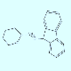 c1ccc2c(c1)-c1ccccc1C2O[SiH2]C1CCCCO1